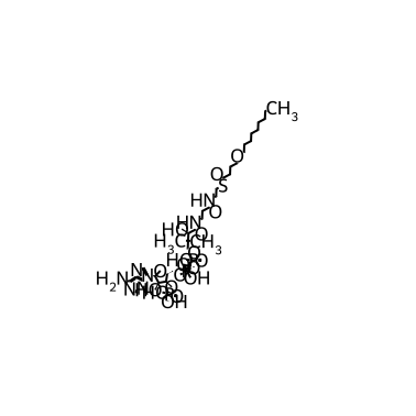 CCCCCCCCCOCCCC(=O)SCCNC(=O)CCNC(=O)[C@H](O)C(C)(C)COP(=O)(O)OP(=O)(O)OC[C@H]1O[C@@H](n2cnc3c(N)ncnc32)[C@H](O)[C@@H]1OP(=O)(O)O